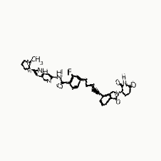 CN1CCC[C@@H]1c1cc2cnc(NC(=O)c3ccc(CCCC#Cc4cccc5c4CN(C4CCC(=O)NC4=O)C5=O)cc3F)cc2[nH]1